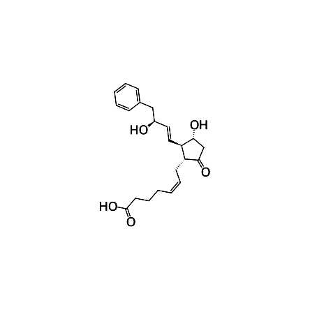 O=C(O)CCC/C=C\C[C@H]1C(=O)C[C@@H](O)[C@@H]1/C=C/[C@@H](O)Cc1ccccc1